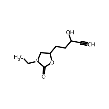 C#CC(O)CCC1CN(CC)C(=O)O1